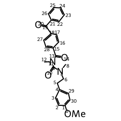 COc1ccc(CCN(C)C(=O)N(C)C(=O)c2ccc(C(=O)c3ccccc3)cc2)cc1